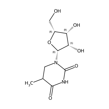 CC1CN([C@@H]2O[C@H](CO)[C@H](O)[C@@H]2O)C(=O)NC1=O